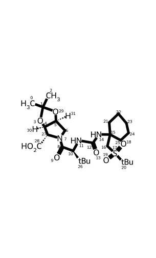 CC1(C)O[C@H]2[C@H](CN(C(=O)[C@@H](NC(=O)NC3(CS(=O)(=O)C(C)(C)C)CCCCC3)C(C)(C)C)[C@@H]2C(=O)O)O1